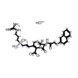 C[N+](C)(C/C=C/C1=C(C(=O)Cl)N2C(=O)[C@@H](NC(=O)CSc3ccc4ccccc4c3)[C@H]2SC1)CCCNC(=N)N.Cl